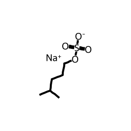 CC(C)CCCOS(=O)(=O)[O-].[Na+]